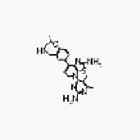 Cc1nc(N)nc(N2CC=C(c3ccc4c(c3)CNCC(C)O4)c3nc(N)sc32)c1C